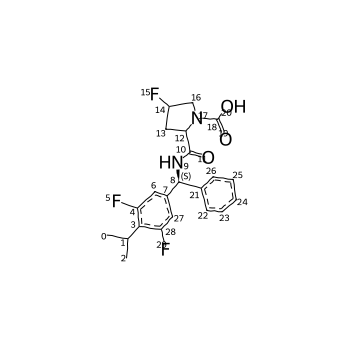 CC(C)c1c(F)cc([C@@H](NC(=O)C2CC(F)CN2C(=O)O)c2ccccc2)cc1F